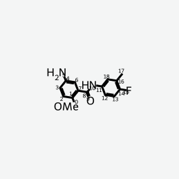 COc1ccc(N)cc1C(=O)Nc1ccc(F)c(C)c1